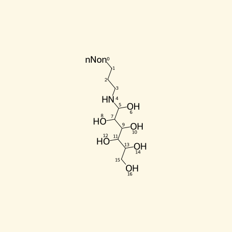 CCCCCCCCCCCCNC(O)C(O)C(O)C(O)C(O)CO